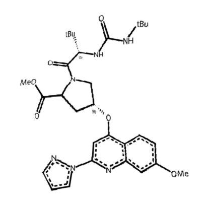 COC(=O)C1C[C@@H](Oc2cc(-n3cccn3)nc3cc(OC)ccc23)CN1C(=O)[C@@H](NC(=O)NC(C)(C)C)C(C)(C)C